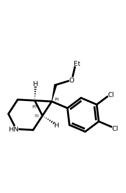 CCOC[C@]1(c2ccc(Cl)c(Cl)c2)[C@@H]2CCNC[C@@H]21